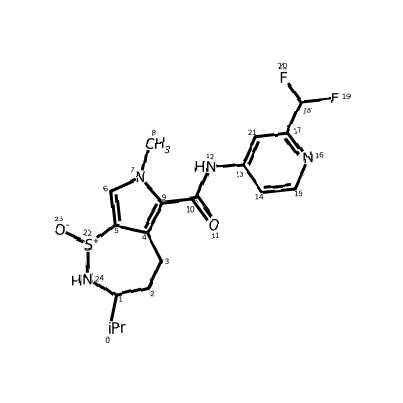 CC(C)C1CCc2c(cn(C)c2C(=O)Nc2ccnc(C(F)F)c2)[S+]([O-])N1